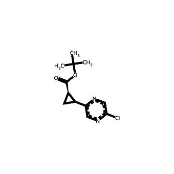 CC(C)(C)OC(=O)[C@@H]1CC1c1cnc(Cl)cn1